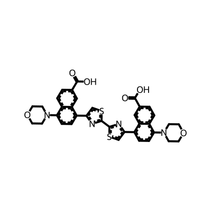 O=C(O)c1ccc2c(N3CCOCC3)ccc(-c3csc(-c4nc(-c5ccc(N6CCOCC6)c6ccc(C(=O)O)cc56)cs4)n3)c2c1